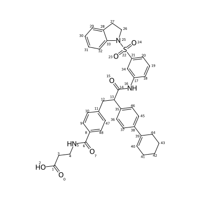 O=C(O)CCNC(=O)c1ccc(CC(C(=O)Nc2cccc(S(=O)(=O)N3CCc4ccccc43)c2)c2ccc(C3=CCCCC3)cc2)cc1